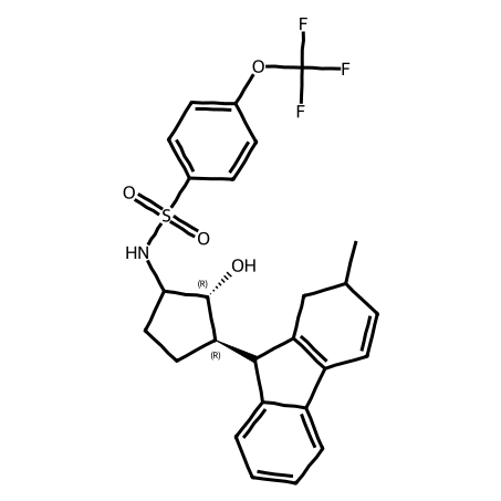 CC1C=CC2=C(C1)C([C@H]1CCC(NS(=O)(=O)c3ccc(OC(F)(F)F)cc3)[C@@H]1O)c1ccccc12